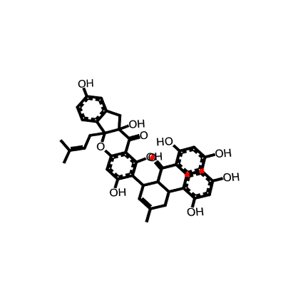 CC(C)=CCC12Oc3cc(O)c(C4C=C(C)CC(c5ccc(O)cc5O)C4C(=O)c4ccc(O)cc4O)c(O)c3C(=O)C1(O)Cc1cc(O)ccc12